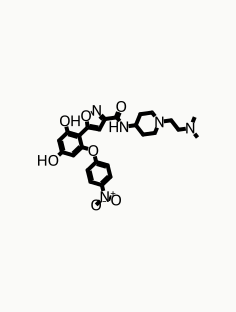 CN(C)CCN1CCC(NC(=O)c2cc(-c3c(O)cc(O)cc3Oc3ccc([N+](=O)[O-])cc3)on2)CC1